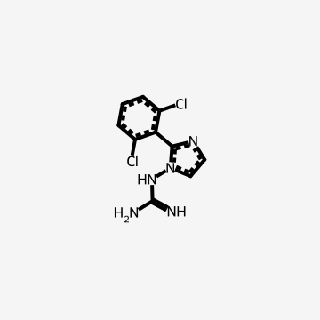 N=C(N)Nn1ccnc1-c1c(Cl)cccc1Cl